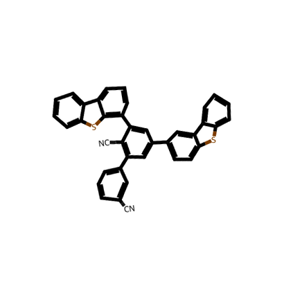 N#Cc1cccc(-c2cc(-c3ccc4sc5ccccc5c4c3)cc(-c3cccc4c3sc3ccccc34)c2C#N)c1